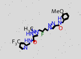 COc1cccc(CNC(=O)c2cn(CCC(F)CN3C=C(C(=O)NCc4cc(C(F)(F)F)ccn4)NN3C)nn2)c1